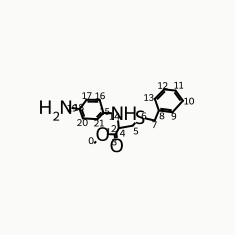 COC(=O)C(CSCc1ccccc1)Nc1ccc(N)cc1